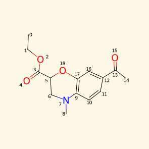 CCOC(=O)C1CN(C)c2ccc(C(C)=O)cc2O1